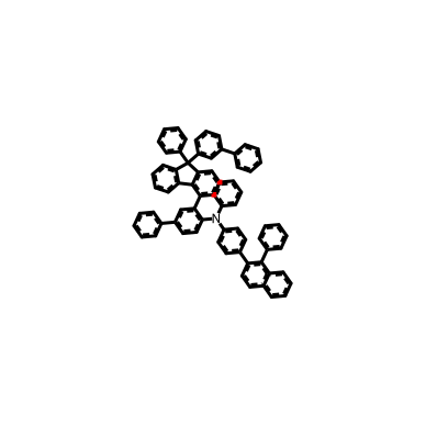 c1ccc(-c2cccc(C3(c4ccccc4)c4ccccc4-c4c(-c5cc(-c6ccccc6)ccc5N(c5ccccc5)c5ccc(-c6ccc7ccccc7c6-c6ccccc6)cc5)cccc43)c2)cc1